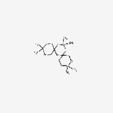 C[Si]1(C)OCC2(CO1)CC1(CO[Si](C)(C)OC1)O[Si](C)(C)O2